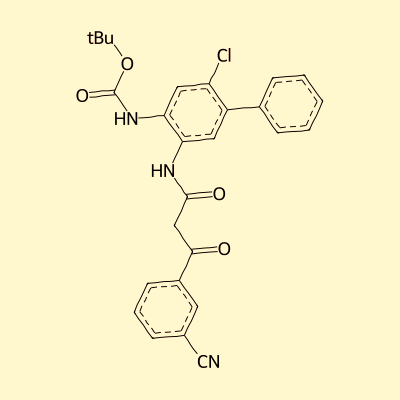 CC(C)(C)OC(=O)Nc1cc(Cl)c(-c2ccccc2)cc1NC(=O)CC(=O)c1cccc(C#N)c1